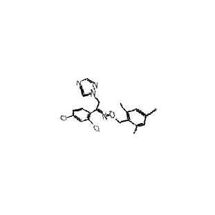 Cc1cc(C)c(CON=C(Cn2cncn2)c2ccc(Cl)cc2Cl)c(C)c1